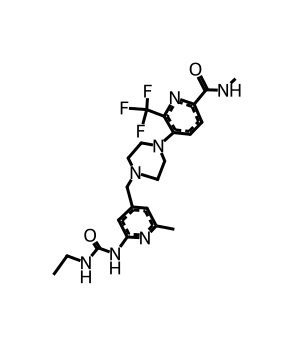 CCNC(=O)Nc1cc(CN2CCN(c3ccc(C(=O)NC)nc3C(F)(F)F)CC2)cc(C)n1